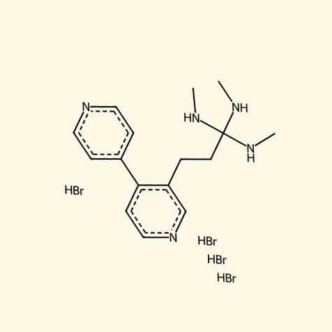 Br.Br.Br.Br.CNC(CCc1cnccc1-c1ccncc1)(NC)NC